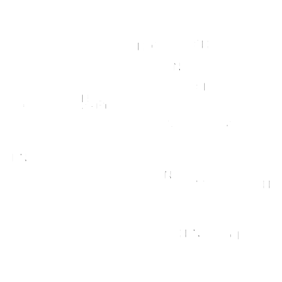 C=CC(N)=O.C=CC(N)=O.C=CC(N)=O.CC(C)CC[N+](C)(C)C.[Cl-]